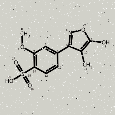 COc1cc(-c2noc(O)c2C)ccc1S(=O)(=O)O